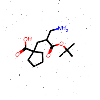 CC(C)(C)OC(=O)C(CN)CC1(C(=O)O)CCCC1